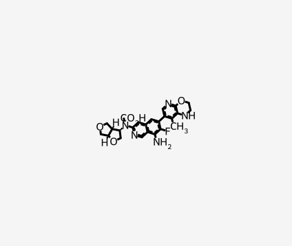 Cc1c(-c2cc3cc(N(C(=O)O)[C@H]4CO[C@@H]5COC[C@@H]54)ncc3c(N)c2F)cnc2c1NCCO2